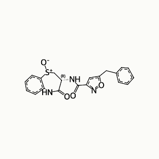 O=C(N[C@H]1C[S+]([O-])c2ccccc2NC1=O)c1cc(Cc2ccccc2)on1